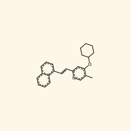 Cc1cnc(/C=C/c2cccc3ccccc23)cc1OC1CCCCC1